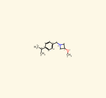 COC1CN(Cc2ccc(C(C)C)cc2)C1